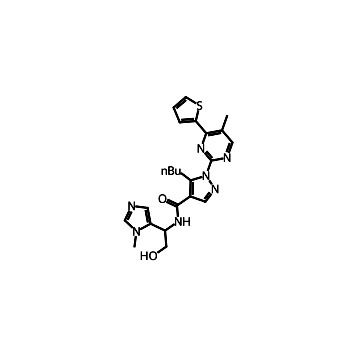 CCCCc1c(C(=O)NC(CO)c2cncn2C)cnn1-c1ncc(C)c(-c2cccs2)n1